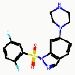 O=S(=O)(c1cc(F)ccc1F)n1ncc2ccc(N3CCNCC3)cc21